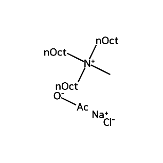 CC(=O)[O-].CCCCCCCC[N+](C)(CCCCCCCC)CCCCCCCC.[Cl-].[Na+]